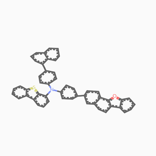 c1ccc2c(-c3ccc(N(c4ccc(-c5ccc6c(ccc7c8ccccc8oc67)c5)cc4)c4cccc5c4sc4ccccc45)cc3)cccc2c1